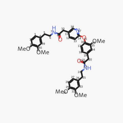 COc1ccc(CCNC(=O)Cc2ccc(Oc3ccc(CC(=O)NCCc4ccc(OC)c(OC)c4)cc3OC)nc2)cc1OC